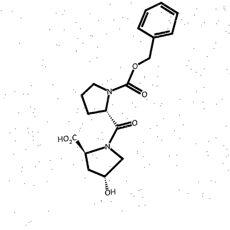 O=C(O)[C@@H]1C[C@@H](O)CN1C(=O)[C@@H]1CCCN1C(=O)OCc1ccccc1